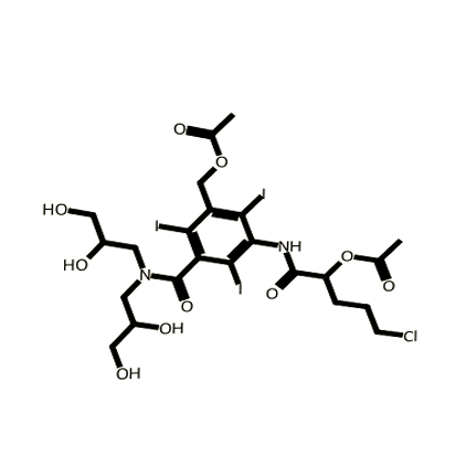 CC(=O)OCc1c(I)c(NC(=O)C(CCCCl)OC(C)=O)c(I)c(C(=O)N(CC(O)CO)CC(O)CO)c1I